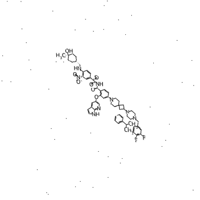 CC(C)c1ccccc1[C@H]1CN(Cc2ccc(F)c(F)c2)CCN1C1CC2(CCN(c3ccc(C(=O)NS(=O)(=O)c4ccc(NC[C@H]5CC[C@](C)(O)CC5)c([N+](=O)[O-])c4)c(Oc4cnc5[nH]ccc5c4)c3)CC2)C1